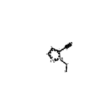 C#Cc1ccnn1CC